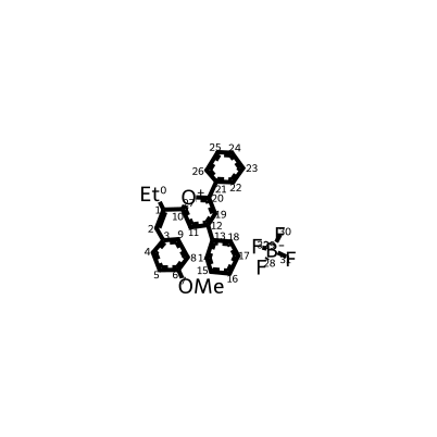 CCC(=Cc1ccc(OC)cc1)c1cc(-c2ccccc2)cc(-c2ccccc2)[o+]1.F[B-](F)(F)F